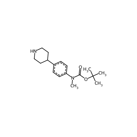 CN(C(=O)OC(C)(C)C)c1ccc(C2CCNCC2)cc1